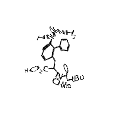 CON(C(=O)CC(C)(C)C)C(Cc1cccc(NC=NN)c1-c1ccccc1)C(=O)O